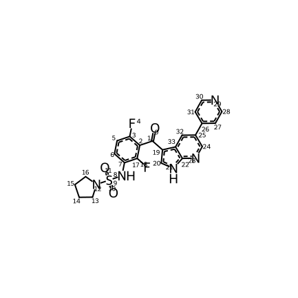 O=C(c1c(F)ccc(NS(=O)(=O)N2CCCC2)c1F)c1c[nH]c2ncc(-c3ccncc3)cc12